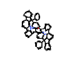 c1ccc(C2(c3ccccc3)c3ccccc3-c3ccc4c5cccc6c7cc8c(cc7n(c4c32)c65)c2cccc3c4ccc5c(c4n8c23)C(c2ccccc2)(c2ccccc2)c2ccccc2-5)cc1